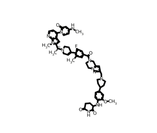 CNc1ccn(-c2ccnc3c2cc([C@H](C)N2CC=C(c4c(C)cc(C(=O)N5CCn6nc(CN7CCC(c8ccc(NC9CCC(=O)NC9=O)c(OC)c8)CC7)cc6C5)cc4F)CC2)n3C)c(=O)c1